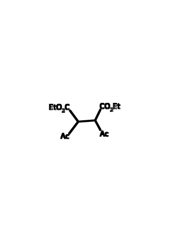 CCOC(=O)C(C(C)=O)C(C(C)=O)C(=O)OCC